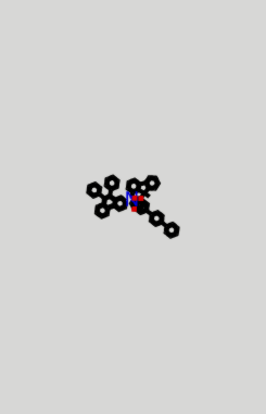 CC1(c2ccccc2)c2ccccc2-c2cccc(N(c3ccc(-c4ccc(-c5ccccc5)cc4)cc3)c3ccc4c(c3)c(-c3ccccc3)c(-c3ccccc3)c3ccccc34)c21